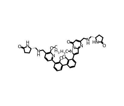 COc1nc(-c2cccc(-c3cccc(-c4cc5nc(CNC[C@@H]6CCC(=O)N6)cc(=O)n5n4C)c3Cl)c2Cl)ccc1CNC[C@@H]1CCC(=O)N1